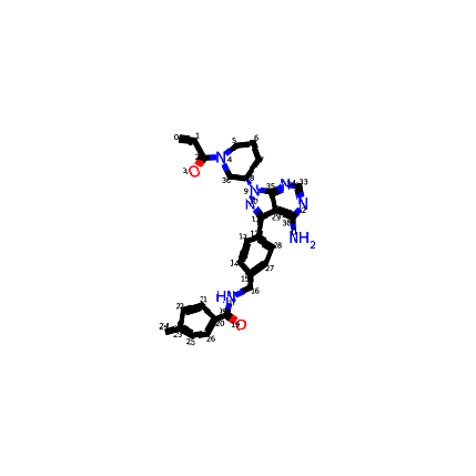 C=CC(=O)N1CCC[C@@H](n2nc(-c3ccc(CNC(=O)c4ccc(C)cc4)cc3)c3c(N)ncnc32)C1